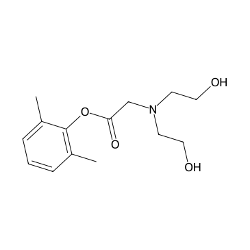 Cc1cccc(C)c1OC(=O)CN(CCO)CCO